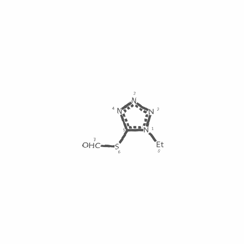 CCn1nnnc1SC=O